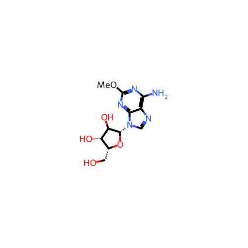 COc1nc(N)c2ncn([C@@H]3O[C@H](CO)[C@H](O)C3O)c2n1